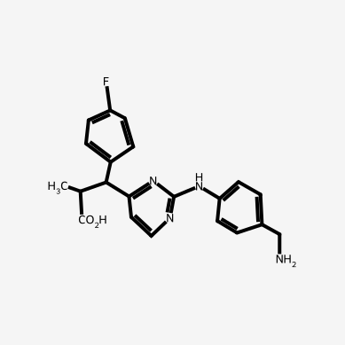 CC(C(=O)O)C(c1ccc(F)cc1)c1ccnc(Nc2ccc(CN)cc2)n1